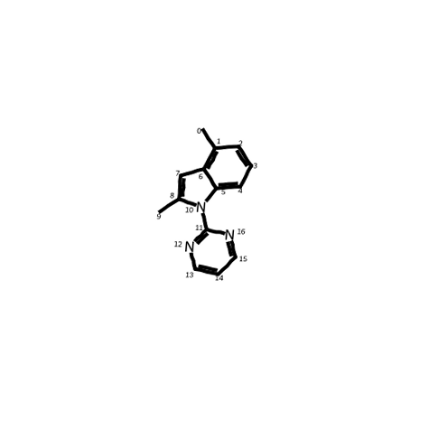 Cc1cccc2c1cc(C)n2-c1ncccn1